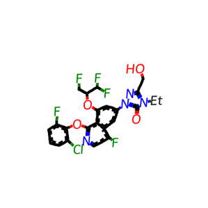 CCn1c(CO)nn(-c2cc(OC(CF)C(F)F)c3c(Oc4c(F)cccc4Cl)ncc(F)c3c2)c1=O